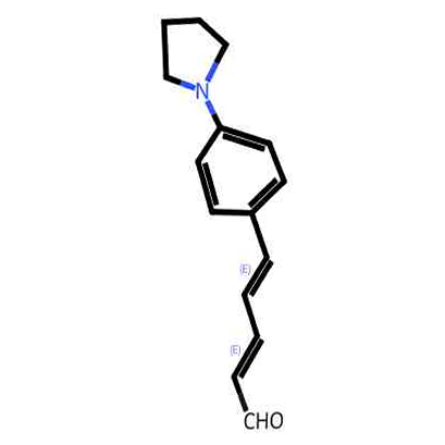 O=C/C=C/C=C/c1ccc(N2CCCC2)cc1